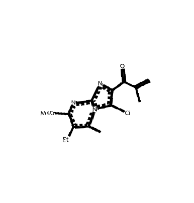 C=C(C)C(=O)c1nc2nc(OC)c(CC)c(C)n2c1Cl